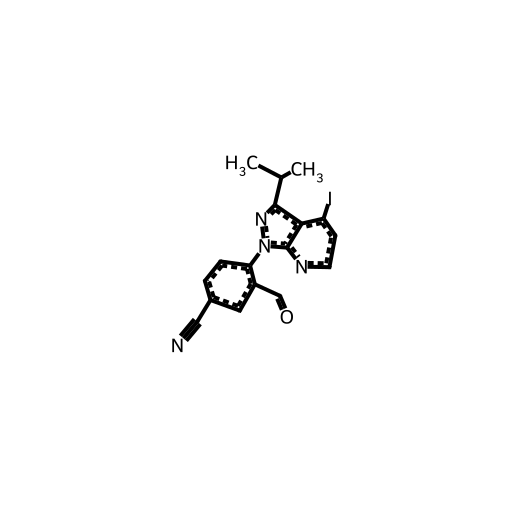 CC(C)c1nn(-c2ccc(C#N)cc2C=O)c2nccc(I)c12